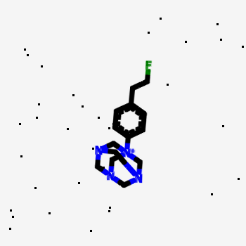 FCCc1ccc([N+]23CN4CN(CN(C4)C2)C3)cc1